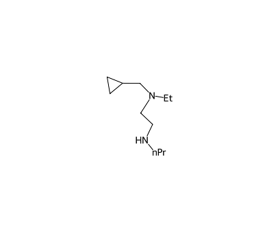 CCCNCCN(CC)CC1CC1